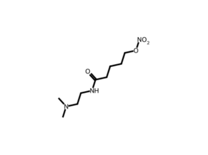 CN(C)CCNC(=O)CCCCO[N+](=O)[O-]